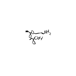 C=CC(=O)O.C=CC(=O)OCC=CN